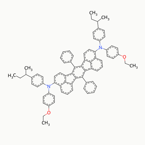 CCOc1ccc(N(c2ccc(C(C)CC)cc2)c2ccc3c4c(-c5ccccc5)c5c6ccc(N(c7ccc(OCC)cc7)c7ccc(C(C)CC)cc7)c7cccc(c5c(-c5ccccc5)c4c4cccc2c43)c76)cc1